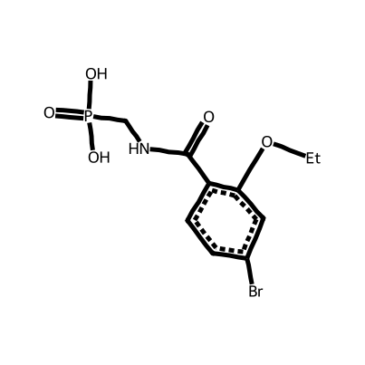 CCOc1cc(Br)ccc1C(=O)NCP(=O)(O)O